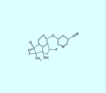 CC1(F)C2(O)CC(F)c3c(Oc4cncc(C#N)c4)ccc(c32)S1(=O)=O